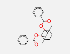 CC12CCC(C)(CC1)C(OC(=O)c1ccccc1)C2OC(=O)c1ccccc1